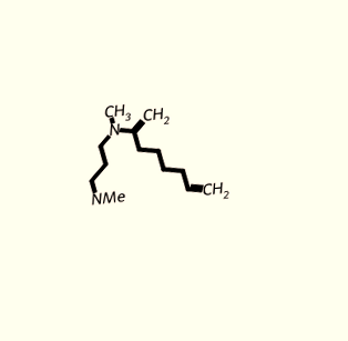 C=CCCCCC(=C)N(C)CCCNC